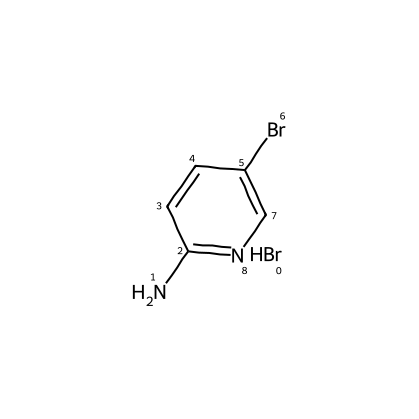 Br.Nc1ccc(Br)cn1